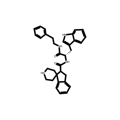 O=C(N[C@@H](Cc1c[nH]c2ccccc12)C(=O)NCCc1ccccc1)C1Cc2ccccc2C12CCNCC2